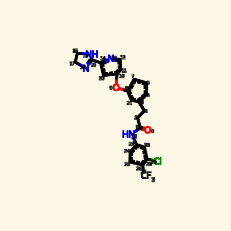 O=C(CCc1cccc(Oc2ccnc(C3=NCCN3)c2)c1)Nc1ccc(C(F)(F)F)c(Cl)c1